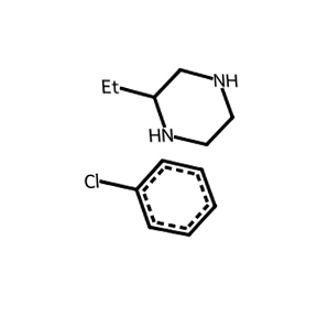 CCC1CNCCN1.Clc1ccccc1